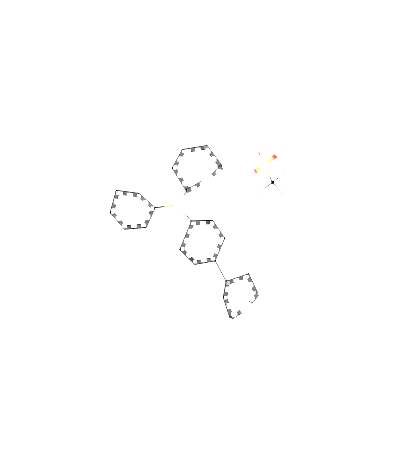 O=S(=O)([O-])C(F)(F)F.c1ccc(-c2ccc([S+](c3ccccc3)c3ccccc3)cc2)cc1